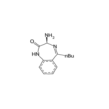 CCCCC1=N[C@H](N)C(=O)Nc2ccccc21